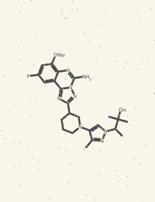 COc1cc(F)cc2c1nc(N)n1nc(C3CCCN(c4cn(C(C)C(C)(C)O)nc4C)C3)nc21